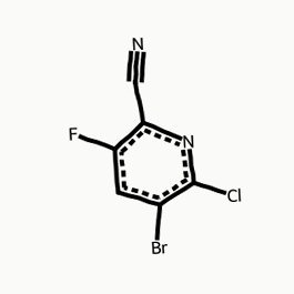 N#Cc1nc(Cl)c(Br)cc1F